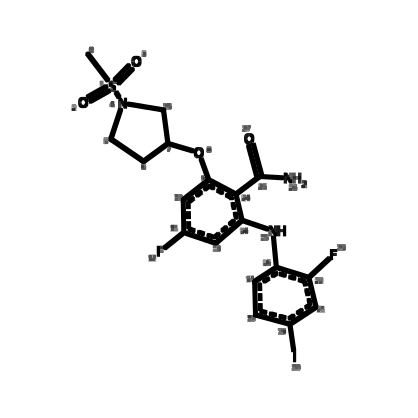 CS(=O)(=O)N1CCC(Oc2cc(F)cc(Nc3ccc(I)cc3F)c2C(N)=O)C1